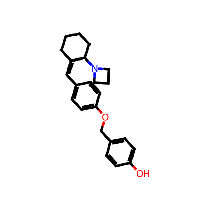 Oc1ccc(COc2ccc(/C=C3/CCCCC3N3CCC3)cc2)cc1